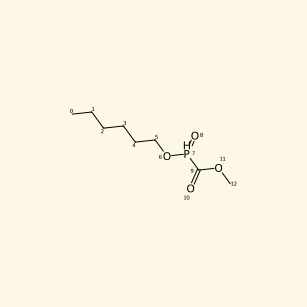 CCCCCCO[PH](=O)C(=O)OC